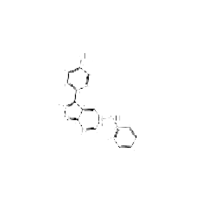 Cc1ccc(-c2nnc3ncn(Nc4ccccc4)cc2-3)cc1